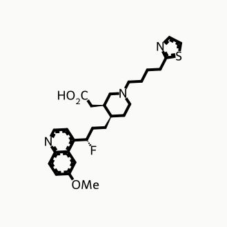 COc1ccc2nccc([C@@H](F)CC[C@@H]3CCN(CCCCc4nccs4)C[C@@H]3CC(=O)O)c2c1